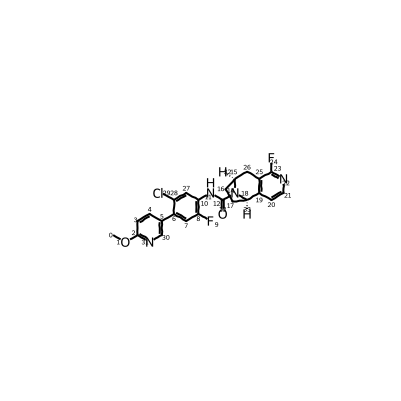 COc1ccc(-c2cc(F)c(NC(=O)N3[C@H]4CC[C@@H]3c3ccnc(F)c3C4)cc2Cl)cn1